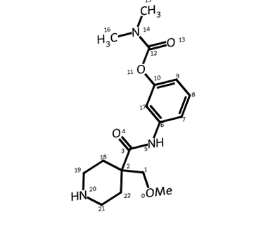 COCC1(C(=O)Nc2cccc(OC(=O)N(C)C)c2)CCNCC1